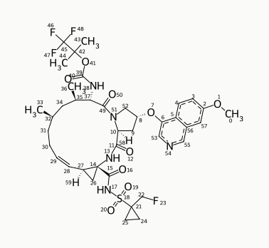 COc1ccc2c(O[C@@H]3C[C@H]4C(=O)N[C@]5(C(=O)NS(=O)(=O)C6(CF)CC6)C[C@H]5/C=C\CC[C@@H](C)C[C@@H](C)[C@H](NC(=O)OC(C)(C)C(F)(F)F)C(=O)N4C3)cncc2c1